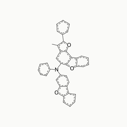 Cc1c(-c2ccccc2)oc2c1cc(N(c1ccccc1)c1ccc3c(c1)oc1ccccc13)c1oc3ccccc3c12